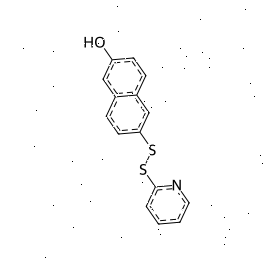 Oc1ccc2cc(SSc3ccccn3)ccc2c1